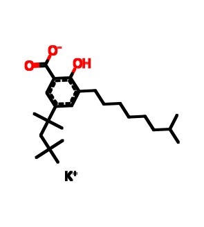 CC(C)CCCCCCc1cc(C(C)(C)CC(C)(C)C)cc(C(=O)[O-])c1O.[K+]